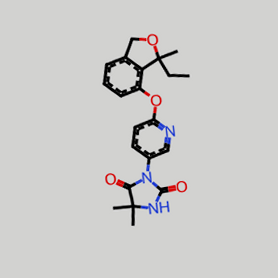 CCC1(C)OCc2cccc(Oc3ccc(N4C(=O)NC(C)(C)C4=O)cn3)c21